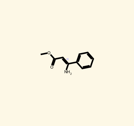 COC(=O)/C=C(\N)c1ccccc1